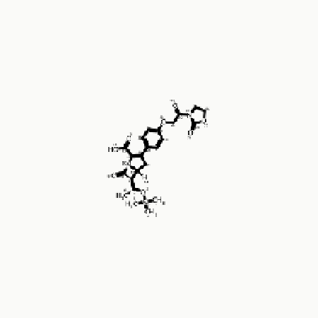 C[C@@H](O[Si](C)(C)C)[C@H]1C(=O)N2C(C(=O)O)=C(c3ccc(OCC(=O)N4CCOC4=O)cc3)C[C@H]12